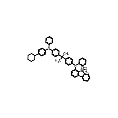 CC(C)(c1ccc(N(c2ccccc2)c2ccc(C3CCCCC3)cc2)cc1)c1ccc(N(c2ccccc2)c2cccc3c2[Si](C)(C)c2ccccc2-3)cc1